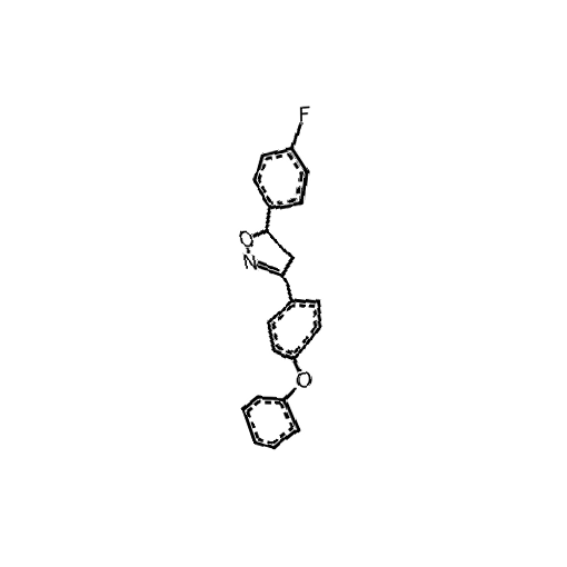 Fc1ccc(C2CC(c3ccc(Oc4ccccc4)cc3)=NO2)cc1